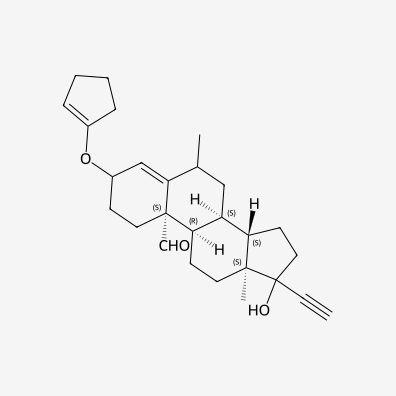 C#CC1(O)CC[C@H]2[C@@H]3CC(C)C4=CC(OC5=CCCC5)CC[C@]4(C=O)[C@@H]3CC[C@@]21C